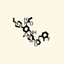 C=CC(=O)Nc1cc(Nc2cc(N3OCC[C@@H]3Cc3cccc(F)c3C)ncn2)c(OC)cc1N1CCN(CC)CC1